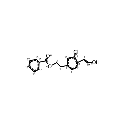 O=C(OCCc1ccc(C=CO)c(Cl)c1)c1ccccc1